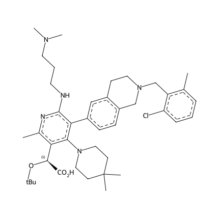 Cc1cccc(Cl)c1CN1CCc2cc(-c3c(NCCCN(C)C)nc(C)c([C@H](OC(C)(C)C)C(=O)O)c3N3CCC(C)(C)CC3)ccc2C1